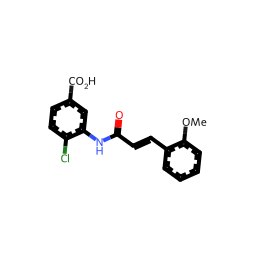 COc1ccccc1C=CC(=O)Nc1cc(C(=O)O)ccc1Cl